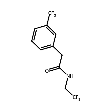 O=C([CH]c1cccc(C(F)(F)F)c1)NCC(F)(F)F